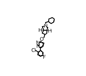 Fc1ccc(Cl)c(-c2ccc(OCC3C[C@@H]4CN(CC5CCCCC5)C[C@@H]4C3)nn2)c1